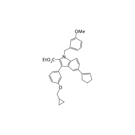 CCOC(=O)c1c(-c2cccc(OCC3CC3)c2)c2cc(C3=CCCC3)ccc2n1Cc1cccc(OC)c1